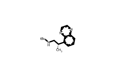 C[C@H](CNC(C)(C)C)c1cccc2nccnc12